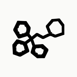 c1ccc(C(CCN2CCCCCC2)(c2ccccc2)c2ccccc2)cc1